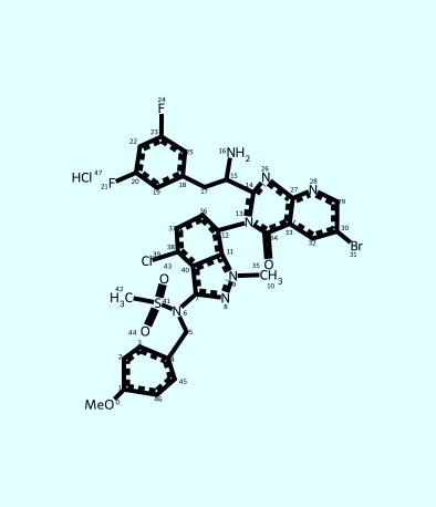 COc1ccc(CN(c2nn(C)c3c(-n4c(C(N)Cc5cc(F)cc(F)c5)nc5ncc(Br)cc5c4=O)ccc(Cl)c23)S(C)(=O)=O)cc1.Cl